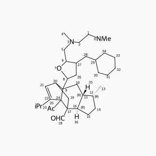 CNCCN(C)CC1OC(C23C[C@@H]4[C@H](C)CC[C@H]4C4(C=O)CC2C=C(C(C)C)C34C(C)=O)CC1CC1CCCCC1